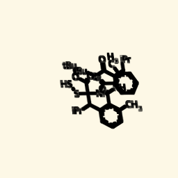 Cc1ccccc1C(=O)NC(SS)(C(=O)OC(C)(C)C)C(c1cccc(C)c1C(=O)NC(CC(C)C)C(=O)OC(C)(C)C)C(C)C